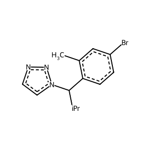 Cc1cc(Br)ccc1C(C(C)C)n1ccnn1